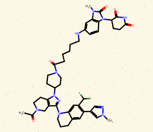 CC(=O)N1CCc2c(c(N3CCCc4cc(-c5cnn(C)c5)c(C(F)F)cc43)nn2C2CCN(C(=O)CCCCCNc3ccc4c(c3)n(C)c(=O)n4C3CCC(=O)NC3=O)CC2)C1